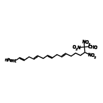 CCCCC/C=C/C/C=C/C/C=C/C/C=C/CCCC([N+](=O)[O-])C([C]=O)([N+](=O)[O-])[N+](=O)[O-]